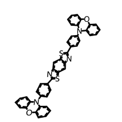 c1ccc2c(c1)Oc1ccccc1N2c1ccc(-c2nc3cc4sc(-c5ccc(N6c7ccccc7Oc7ccccc76)cc5)nc4cc3s2)cc1